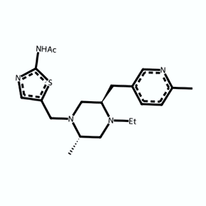 CCN1C[C@H](C)N(Cc2cnc(NC(C)=O)s2)C[C@H]1Cc1ccc(C)nc1